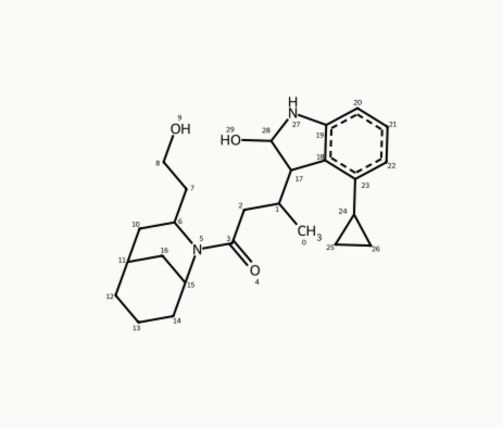 CC(CC(=O)N1C(CCO)CC2CCCC1C2)C1c2c(cccc2C2CC2)NC1O